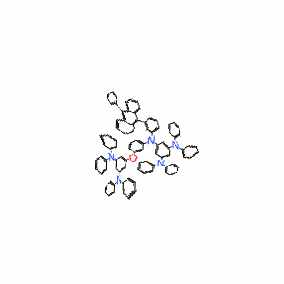 c1ccc(-c2c3ccccc3c(-c3cccc(N(c4cccc(Oc5cc(N(c6ccccc6)c6ccccc6)cc(N(c6ccccc6)c6ccccc6)c5)c4)c4cc(N(c5ccccc5)c5ccccc5)cc(N(c5ccccc5)c5ccccc5)c4)c3)c3ccccc23)cc1